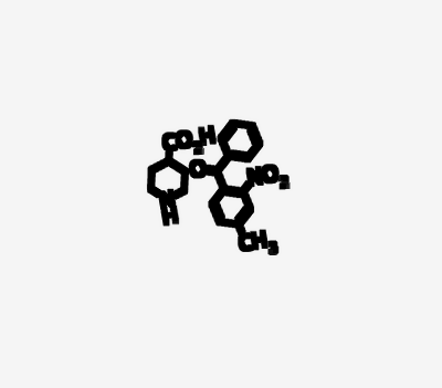 Cc1ccc(C(=O)c2ccccc2)c([N+](=O)[O-])c1.O=C(O)C1CCNCC1